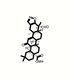 COC(=O)[C@]12CCC(C)(C)C[C@H]1[C@H]1C(=O)C=C3[C@@]4(C)Cc5cnoc5[C@](C)(C=O)[C@@H]4CC[C@@]3(C)[C@]1(C)CC2